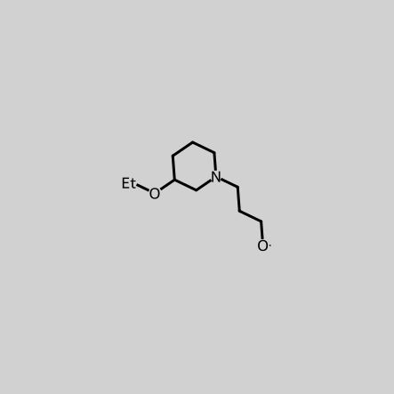 CCOC1CCCN(CCC[O])C1